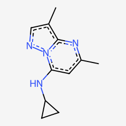 Cc1cc(NC2CC2)n2ncc(C)c2n1